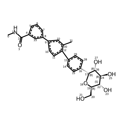 CNC(=O)c1cccc(-c2ccc(-c3ccc([C@H]4O[C@H](CO)[C@@H](O)[C@H](O)[C@H]4O)cc3)c(C)c2)c1